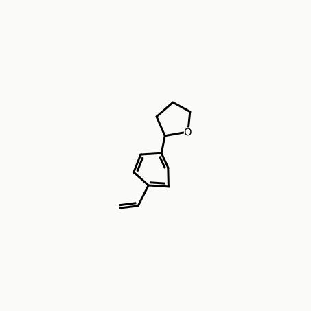 C=Cc1ccc(C2CCCO2)cc1